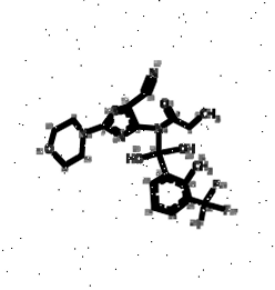 CCC(=O)N(c1nc(N2CCOCC2)sc1C#N)C(O)(O)c1cccc(C(F)(F)F)c1C